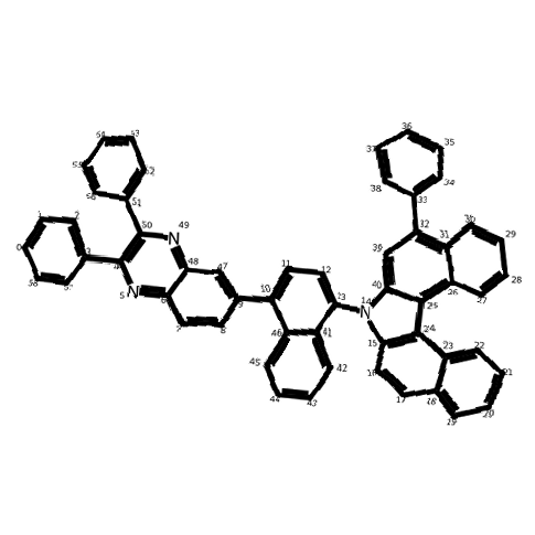 c1ccc(-c2nc3ccc(-c4ccc(-n5c6ccc7ccccc7c6c6c7ccccc7c(-c7ccccc7)cc65)c5ccccc45)cc3nc2-c2ccccc2)cc1